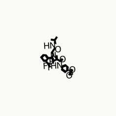 Cc1c(C(=O)Nc2ccc(S(C)(=O)=O)cc2)cn(CC(=O)NCC(C)C)c1-c1ccccc1C(F)(F)F